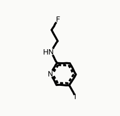 FCCNc1ccc(I)cn1